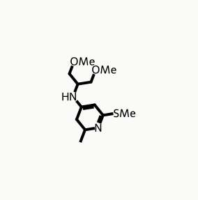 COCC(COC)NC1=CC(SC)=NC(C)C1